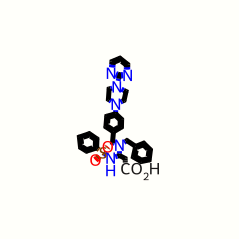 O=C(O)CC(NS(=O)(=O)c1ccccc1)N(Cc1ccccc1)Cc1ccc(N2CCN(c3ncccn3)CC2)cc1